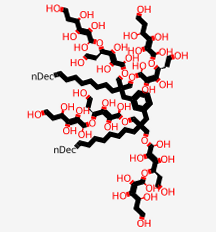 CCCCCCCCCCCCCCCCCCC(CO[C@H](O)/C(O)=C(/O)[C@@H](CCO)O[C@H](O)/C(O)=C(\O)[C@H](O)CCO)(CO[C@H](O)/C(O)=C(\O)[C@@H](CCO)O[C@H](O)/C(O)=C(\O)[C@H](O)CCO)Cc1cccc(CC(CCCCCCCCCCCCCCCCCC)(CO[C@H](O)/C(O)=C(\O)[C@@H](CCO)O[C@H](O)/C(O)=C(/O)[C@H](O)CCO)CO[C@H](O)/C(O)=C(\O)[C@@H](CCO)O[C@H](O)/C(O)=C(\O)[C@H](O)CCO)c1